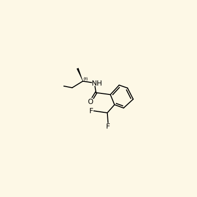 CC[C@@H](C)NC(=O)c1ccccc1C(F)F